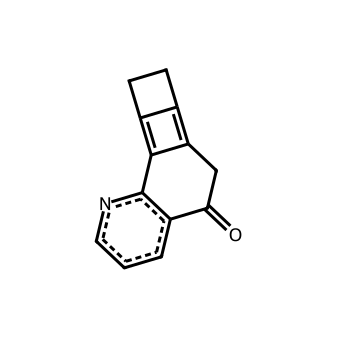 O=C1CC2=C3CCC3=C2c2ncccc21